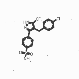 NS(=O)(=O)c1ccc(-c2n[nH]c(C(F)(F)F)c2Cc2ccc(Cl)cc2)cc1